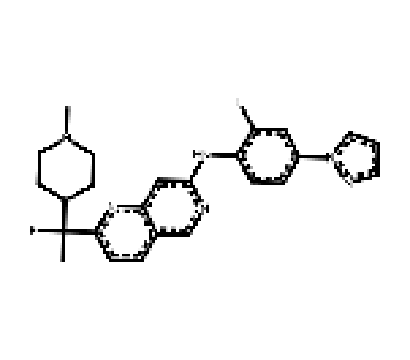 CN1CCC(C(C)(F)c2ccc3cnc(Nc4ccc(-n5cccn5)cc4F)cc3n2)CC1